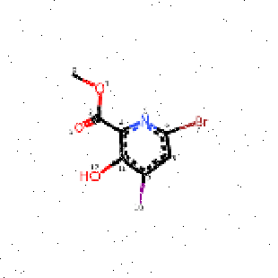 COC(=O)c1nc(Br)cc(I)c1O